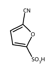 N#Cc1ccc(S(=O)(=O)O)o1